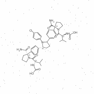 CC(C)[C@H](NC(=O)O)C(=O)N1CCC[C@@]1(C(N)=O)c1ccc(C2CC[C@H](c3ccc([C@]4(C(N)=O)CCCN4C(=O)[C@@H](NC(=O)O)C(C)C)cc3)N2c2ccc(Cl)cc2)cc1